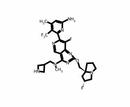 Cc1cc(N)nc(-c2ncc3c(N(C)CC4CNC4)nc(OC[C@@]45CCCN4C[C@H](F)C5)nc3c2F)c1C(F)(F)F